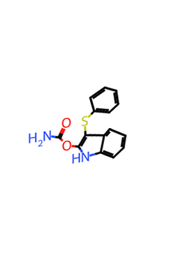 NC(=O)Oc1[nH]c2ccccc2c1Sc1ccccc1